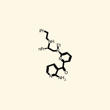 CCC[C@H](CN(CC)c1cccc(C(=O)c2cccnc2N)n1)NCCC(C)C